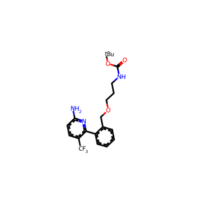 CC(C)(C)OC(=O)NCCCOCc1ccccc1-c1nc(N)ccc1C(F)(F)F